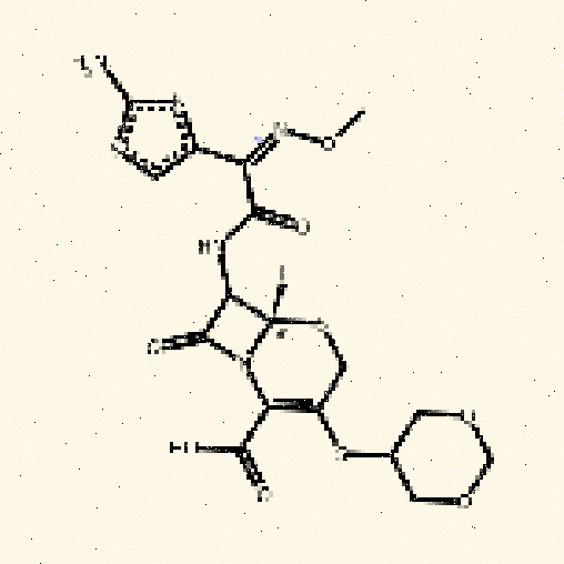 CO/N=C(\C(=O)NC1C(=O)N2C(C(=O)O)=C(SC3COCOC3)CS[C@@H]12)c1csc(N)n1